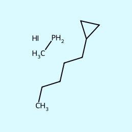 CCCCCC1CC1.CP.I